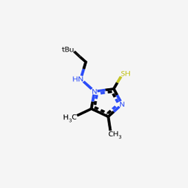 Cc1nc(S)n(NCC(C)(C)C)c1C